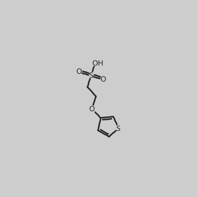 O=S(=O)(O)CCOc1ccsc1